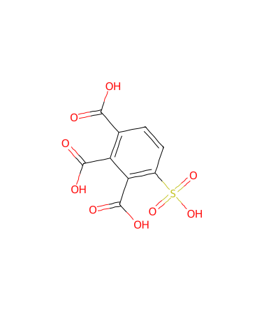 O=C(O)c1ccc(S(=O)(=O)O)c(C(=O)O)c1C(=O)O